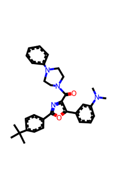 CN(C)c1cccc(-c2oc(-c3ccc(C(C)(C)C)cc3)nc2C(=O)N2CCN(c3ccccc3)CC2)c1